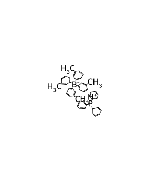 Cc1cccc([B-](c2cccc(C)c2)(c2cccc(C)c2)c2cccc(C)c2)c1.c1ccc([PH+](c2ccccc2)c2ccccc2)cc1